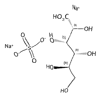 O=C(O)[C@H](O)[C@@H](O)[C@H](O)[C@H](O)CO.O=S(=O)([O-])[O-].[Na+].[Na+]